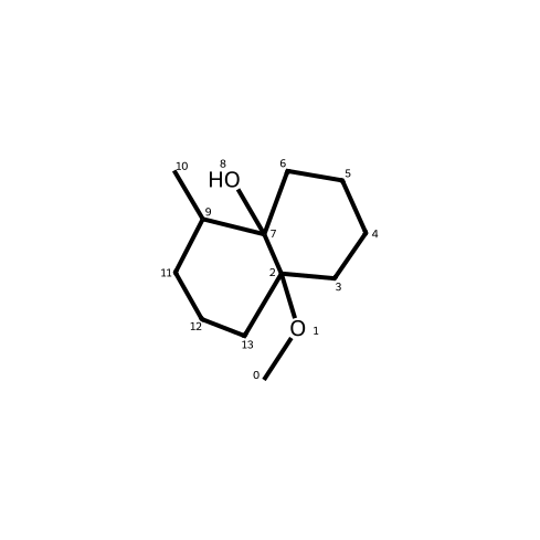 COC12CCCCC1(O)C(C)CCC2